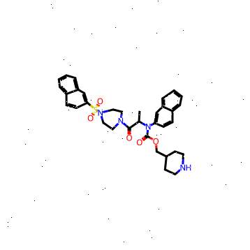 CC(C(=O)N1CCN(S(=O)(=O)c2ccc3ccccc3c2)CC1)N(C(=O)OCC1CCNCC1)c1ccc2ccccc2c1